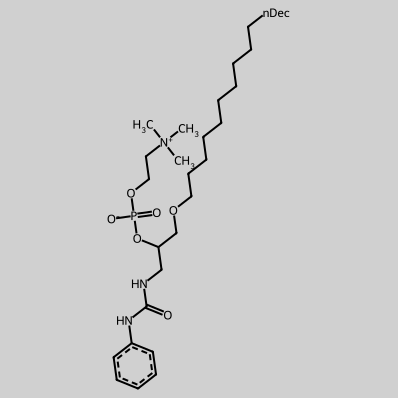 CCCCCCCCCCCCCCCCCCCCOCC(CNC(=O)Nc1ccccc1)OP(=O)([O-])OCC[N+](C)(C)C